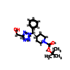 CC(C)(C)OC(=O)N1CCC([C@@H](c2ccccc2)n2nnc(CO)n2)CC1